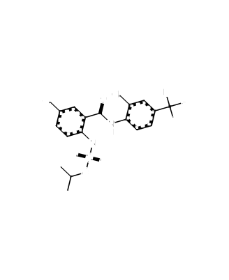 CC(C)OS(=O)(=S)Nc1ccc(Cl)cc1C(=O)Nc1ccc(C(F)(F)F)cc1Cl